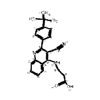 CC(C)(C)c1ccc(-c2nc3ccccc3c(NCCC(=O)O)c2C#N)cc1